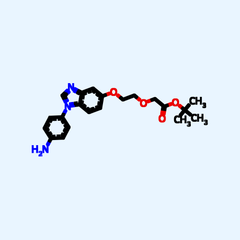 CC(C)(C)OC(=O)COCCOc1ccc2c(c1)ncn2-c1ccc(N)cc1